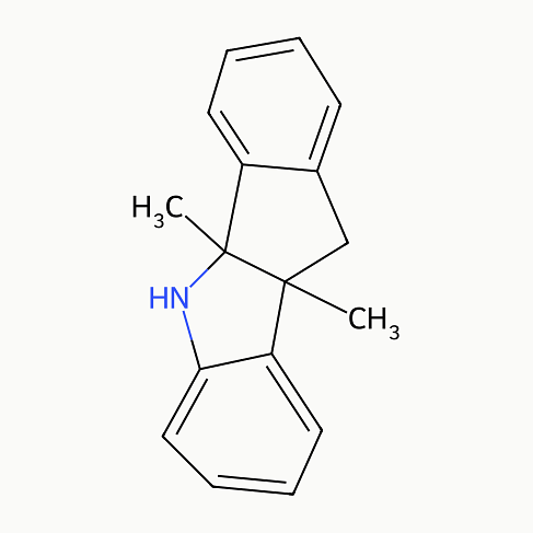 CC12Cc3ccccc3C1(C)Nc1ccccc12